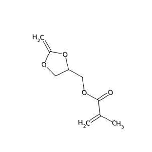 C=C1OCC(COC(=O)C(=C)C)O1